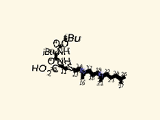 CC[C@@H](C)[C@H](NC(=O)OC(C)(C)C)C(=O)N[C@@H](CSC/C=C(\C)CC/C=C(\C)CCC=C(C)C)C(=O)O